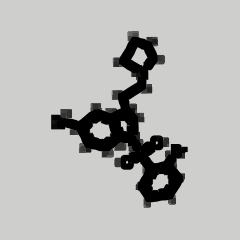 O=S(=O)(c1ccccc1Br)n1cc(CCN2CCCC2)c2cc(Br)ccc21